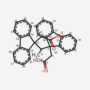 CC(C1(CC(=O)O)c2ccccc2-c2ccccc21)C1(CC(=O)O)c2ccccc2-c2ccccc21